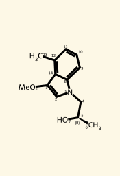 COc1cn(C[C@@H](C)O)c2cccc(C)c12